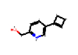 OCc1ccc(C2=CCC2)cn1